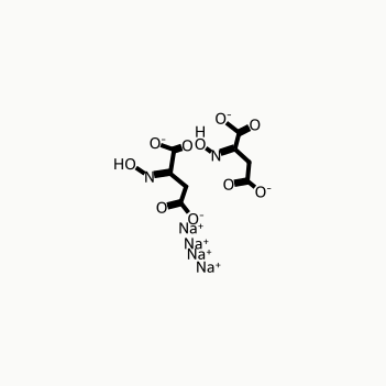 O=C([O-])CC(=NO)C(=O)[O-].O=C([O-])CC(=NO)C(=O)[O-].[Na+].[Na+].[Na+].[Na+]